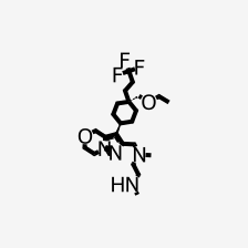 CCOC[C@]1(CCC(F)(F)F)CC[C@@H](c2c(CN(C)CCNC)nn3c2COCC3)CC1